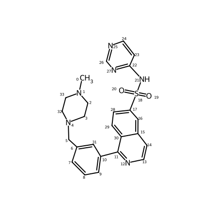 CN1CCN(Cc2cccc(-c3nccc4cc(S(=O)(=O)Nc5ccncn5)ccc34)c2)CC1